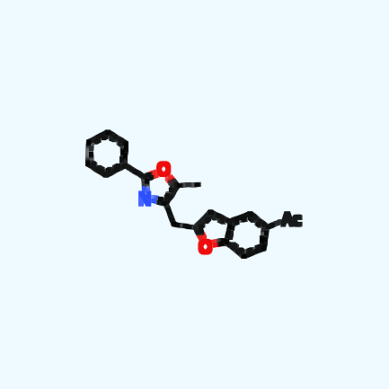 CC(=O)c1ccc2oc(Cc3nc(-c4ccccc4)oc3C)cc2c1